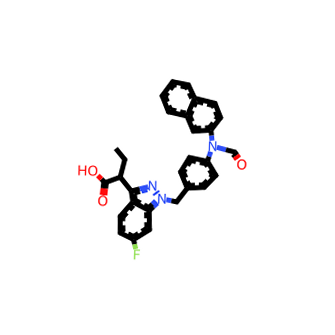 CCC(C(=O)O)c1nn(Cc2ccc(N(C=O)c3ccc4ccccc4c3)cc2)c2cc(F)ccc12